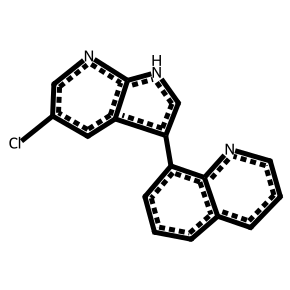 Clc1cnc2[nH]cc(-c3cccc4cccnc34)c2c1